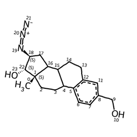 C[C@]12CCC3c4ccc(CO)cc4CCC3C1C[C@H](N=[N+]=[N-])[C@H]2O